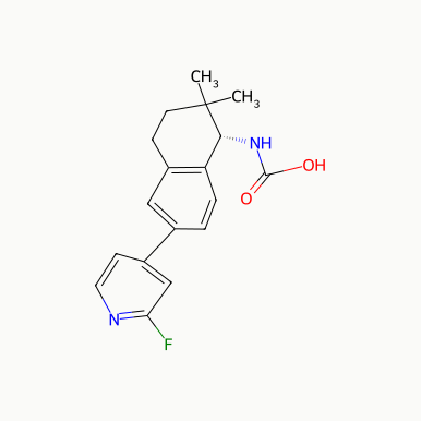 CC1(C)CCc2cc(-c3ccnc(F)c3)ccc2[C@H]1NC(=O)O